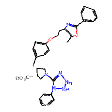 CCOC(=O)[C@H]1CN(C2=NNNN2c2ccccc2)C[C@H]1Cc1ccc(OCCc2nc(-c3ccccc3)oc2C)cc1